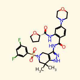 CC1(C)CN(S(=O)(=O)c2cc(F)cc(F)c2)Cc2c(NC(=O)c3ccc(N4CCOCC4)cc3NC(=O)[C@@H]3CCCO3)n[nH]c21